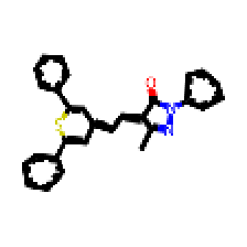 CC1=NN(c2ccccc2)C(=O)/C1=C/C=C1C=C(c2ccccc2)SC(c2ccccc2)=C1